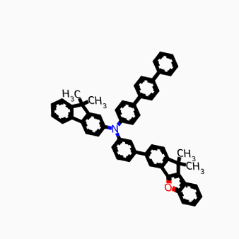 CC1(C)c2ccccc2-c2ccc(N(c3ccc(-c4ccc(-c5ccccc5)cc4)cc3)c3cccc(-c4ccc5c(c4)-c4oc6ccccc6c4C5(C)C)c3)cc21